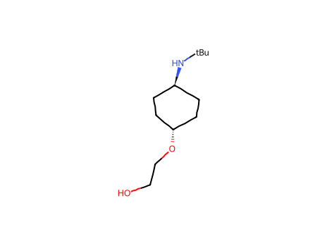 CC(C)(C)N[C@H]1CC[C@H](OCCO)CC1